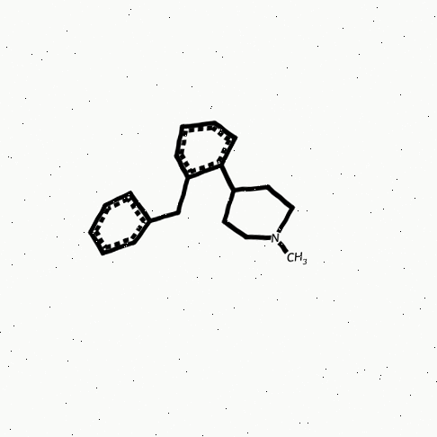 CN1CCC(c2ccccc2Cc2ccccc2)CC1